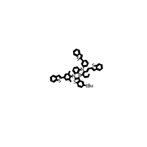 C/C=C\C1=C(/C=C/c2cc3ccccc3s2)N(c2cccc(-c3cc4ccccc4s3)c2)c2cccc3c2B1c1c(sc2ccc(C(C)(C)C)cc12)N3c1c(C)cc(-c2cc3ccccc3s2)cc1C